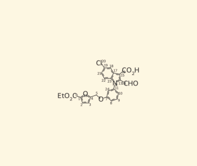 CCOC(=O)c1ccc(COc2cccc(-n3c(C=O)c(C(=O)O)c4cc(Cl)ccc43)c2)o1